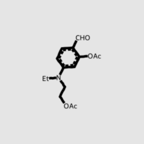 CCN(CCOC(C)=O)c1ccc(C=O)c(OC(C)=O)c1